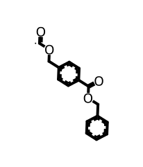 O=[C]OCc1ccc(C(=O)OCc2ccccc2)cc1